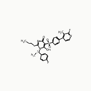 CCCCc1nc(=O)c(S(=O)(=O)c2ccc(-c3ccnc(F)c3C)cc2)c(O)n1[C@@H](CC)c1ccc(F)cc1